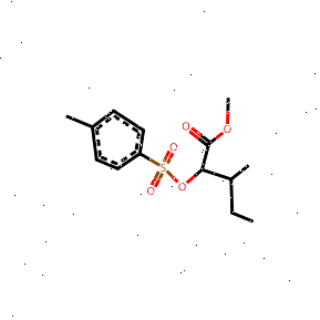 CCC(C)C(OS(=O)(=O)c1ccc(C)cc1)C(=O)OC